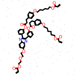 C=CC(=O)OCCCCCCOc1ccc(CCC(=O)Oc2cccc(-c3nc4ccc(OCCOCCOC(=O)C=C)cc4nc3-c3cccc(OC(=O)CCc4ccc(OCCCCCCOC(=O)C=C)cc4)c3)c2)cc1